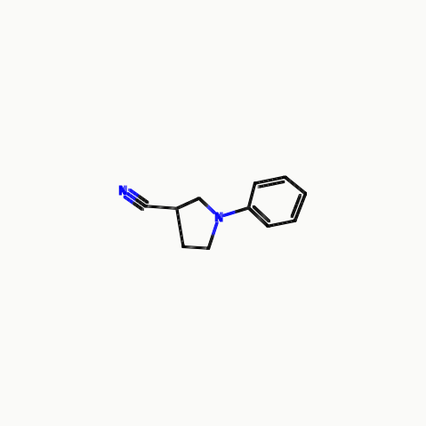 N#CC1CCN(c2ccccc2)C1